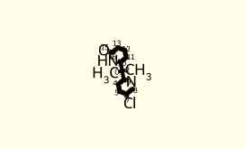 CC(C)(c1ccc(Cl)cn1)c1cccc(=O)[nH]1